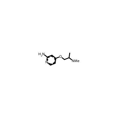 CNC(C)COc1ccnc(N)c1